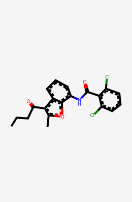 CCCC(=O)c1c(C)oc2c(NC(=O)c3c(Cl)cccc3Cl)cccc12